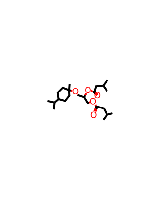 CC(C)CC(=O)OCC(COC1(C)CCC(C(C)C)CC1)OC(=O)CC(C)C